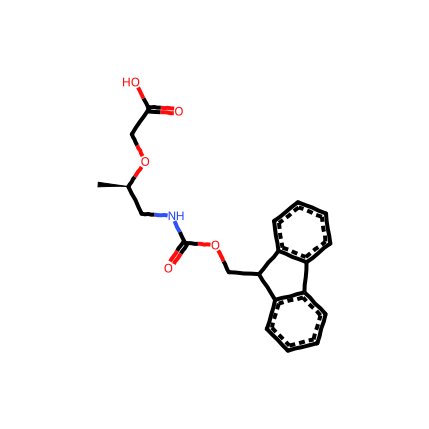 C[C@H](CNC(=O)OCC1c2ccccc2-c2ccccc21)OCC(=O)O